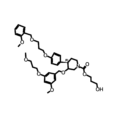 COCCCOc1cc(COC2CN(C(=O)OCCCO)CC[C@@H]2c2ccc(OCCCOCc3ccccc3OC)cc2)cc(OC)c1